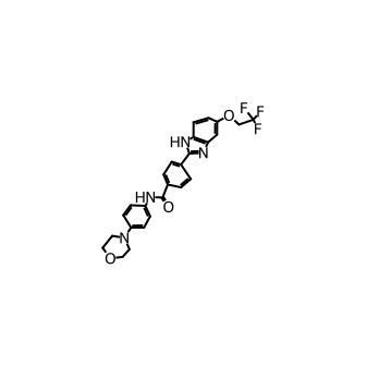 O=C(Nc1ccc(N2CCOCC2)cc1)c1ccc(-c2nc3cc(OCC(F)(F)F)ccc3[nH]2)cc1